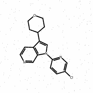 Clc1ccc(-n2cc(C3CCOCC3)c3ccncc32)nc1